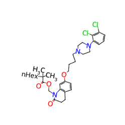 CCCCCCC(C)(C)C(=O)OCN1C(=O)CCc2ccc(OCCCCN3CCN(c4cccc(Cl)c4Cl)CC3)cc21